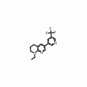 CCN1CCCc2cc(-c3cncc(C(F)(F)F)c3)cnc21